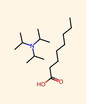 CC(C)N(C(C)C)C(C)C.CCCCCCCC(=O)O